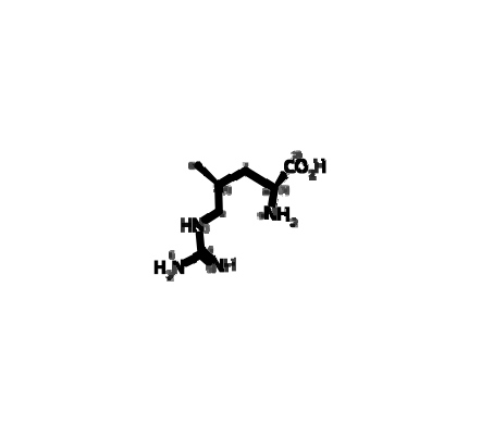 C[C@H](CNC(=N)N)C[C@H](N)C(=O)O